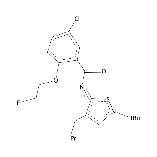 CC(C)Cc1cn(C(C)(C)C)s/c1=N\C(=O)c1cc(Cl)ccc1OCCF